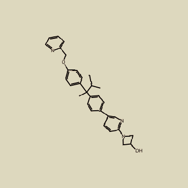 CC(C)C(C)(c1ccc(OCc2ccccn2)cc1)c1ccc(-c2ccc(N3CC(O)C3)nc2)cc1